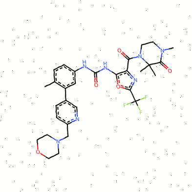 Cc1ccc(NC(=O)Nc2oc(C(F)(F)F)nc2C(=O)N2CCN(C)C(=O)C2(C)C)cc1-c1ccc(CN2CCOCC2)nc1